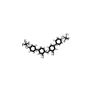 FC(F)(F)Oc1ccc(-c2ccc(Cc3ccc(-c4ccc(OC(F)(F)F)cc4)cc3I)c(I)c2)cc1